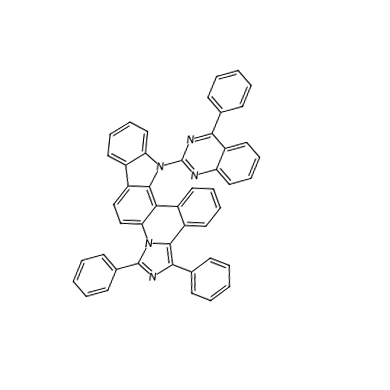 c1ccc(-c2nc(-n3c4ccccc4c4ccc5c(c6ccccc6c6c(-c7ccccc7)nc(-c7ccccc7)n56)c43)nc3ccccc23)cc1